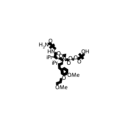 COCCCOc1cc(C[C@@H](C[C@H]2[C@H](C[C@H](C(=O)NCC(C)(C)C(N)=O)C(C)C)OCN2C(=O)OCOC(=O)C(C)(C)CO)C(C)C)ccc1OC